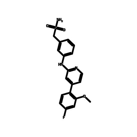 COc1cc(F)ccc1-c1ccnc(Nc2cccc(CS(N)(=O)=O)c2)c1